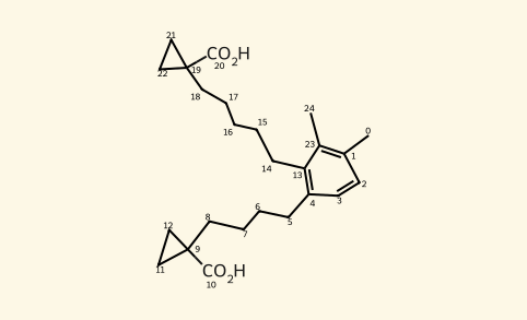 Cc1ccc(CCCCC2(C(=O)O)CC2)c(CCCCCC2(C(=O)O)CC2)c1C